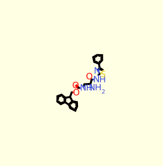 N[C@@H](CNC(=O)OCC1c2ccccc2-c2ccccc21)C(=O)Nc1nc(-c2ccccc2)cs1